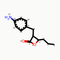 CCCC1OC(=O)C1Cc1ccc(N)cc1